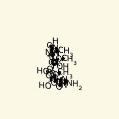 CCOC1[C@@H](OP(=O)(O)OC[C@H]2O[C@@H](n3cnc4c(=O)[nH]c(C)nc43)C(OCC)[C@H]2O)[C@@H](CO)O[C@H]1n1cnc(N)nc1=O